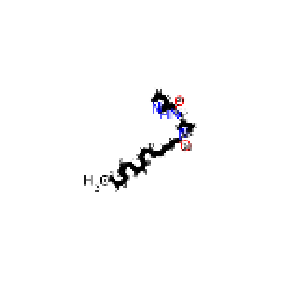 CC/C=C\C/C=C\C/C=C\C/C=C\C/C=C\CCCC(=O)N1CC[C@H](CNC(=O)c2cccnc2)C1